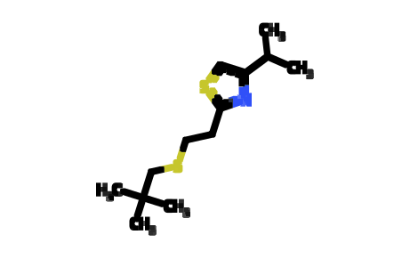 CC(C)c1csc(CCSCC(C)(C)C)n1